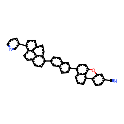 N#Cc1ccc2c(c1)Oc1ccc(-c3ccc4cc(-c5ccc6ccc7c(-c8cccnc8)ccc8ccc5c6c87)ccc4c3)c3cccc-2c13